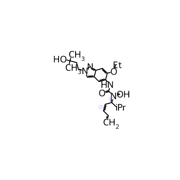 C=C/C=C\C(C(C)C)=[N+](\O)C(=O)Nc1cc2cn(CCC(C)(C)O)nc2cc1OCC